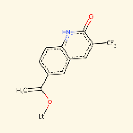 C=C(OCC)c1ccc2[nH]c(=O)c(C(F)(F)F)cc2c1